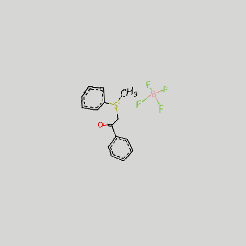 C[S+](CC(=O)c1ccccc1)c1ccccc1.F[B-](F)(F)F